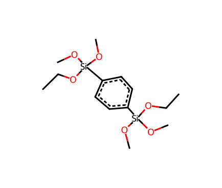 CCO[Si](OC)(OC)c1ccc([Si](OC)(OC)OCC)cc1